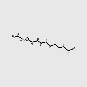 CCCCCCCCCCOSCC